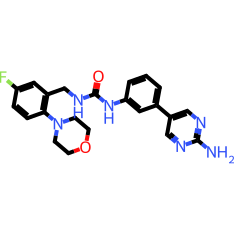 Nc1ncc(-c2cccc(NC(=O)NCc3cc(F)ccc3N3CCOCC3)c2)cn1